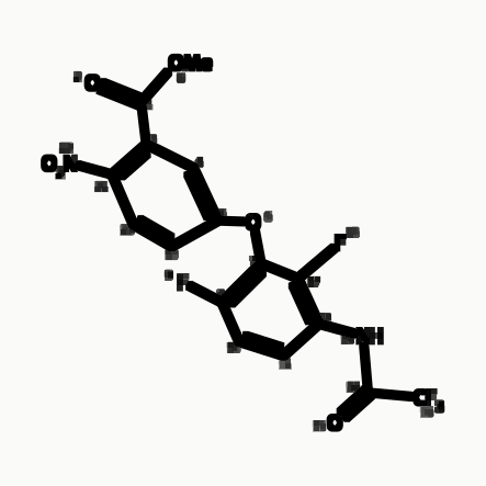 COC(=O)c1cc(Oc2c(F)ccc(NC(=O)C(F)(F)F)c2F)ccc1[N+](=O)[O-]